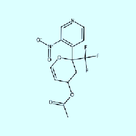 CC(=O)OC1C=COC(c2ccncc2[N+](=O)[O-])(C(F)(F)F)C1